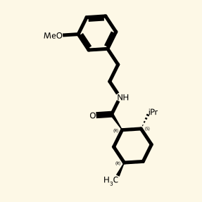 COc1cccc(CCNC(=O)[C@@H]2C[C@H](C)CC[C@H]2C(C)C)c1